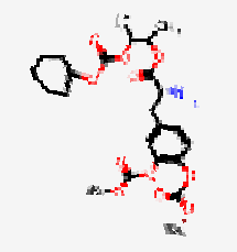 CCC(C)OC(=O)Oc1cc(C[C@H](N)C(=O)OC(C)C(C)OC(=O)OC2CCCCC2)ccc1OC(=O)O[C@@H](C)CC